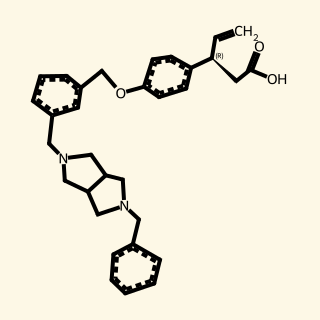 C=C[C@@H](CC(=O)O)c1ccc(OCc2cccc(CN3CC4CN(Cc5ccccc5)CC4C3)c2)cc1